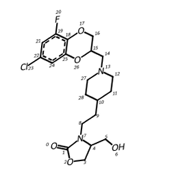 O=C1OCC(CO)N1CCC1CCN(CC2COc3c(F)cc(Cl)cc3O2)CC1